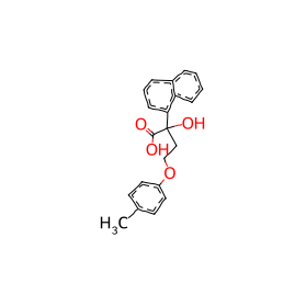 Cc1ccc(OCCC(O)(C(=O)O)c2cccc3ccccc23)cc1